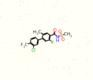 Cc1cc(C(=O)NS(C)(=O)=O)c(F)cc1-c1ccc(C(F)(F)F)c(Cl)c1